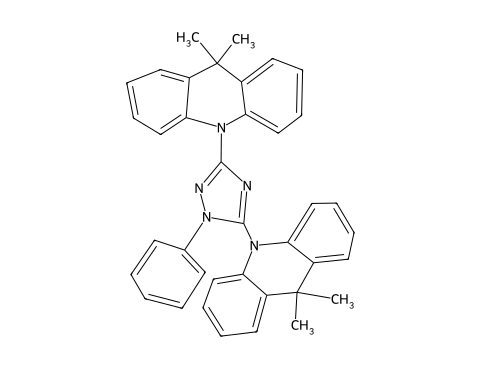 CC1(C)c2ccccc2N(c2nc(N3c4ccccc4C(C)(C)c4ccccc43)n(-c3ccccc3)n2)c2ccccc21